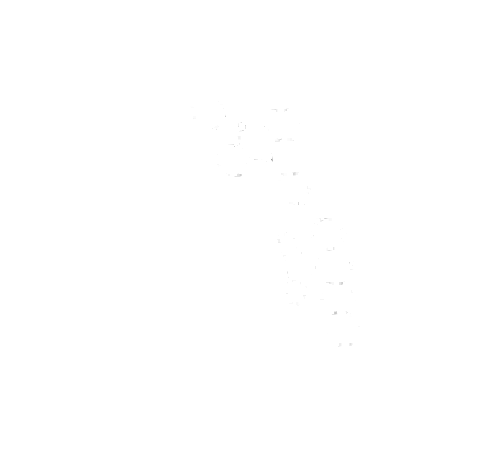 c1ccc(N(c2ccc(-c3ccc4c(c3)C3(c5cc6ccccc6cc5S4)c4ccccc4-c4ccccc43)cc2)c2cccc3c2oc2ccccc23)cc1